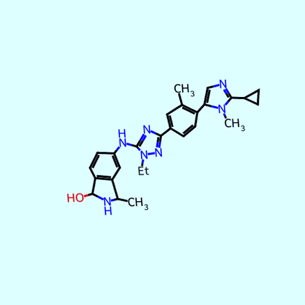 CCn1nc(-c2ccc(-c3cnc(C4CC4)n3C)c(C)c2)nc1Nc1ccc2c(c1)C(C)NC2O